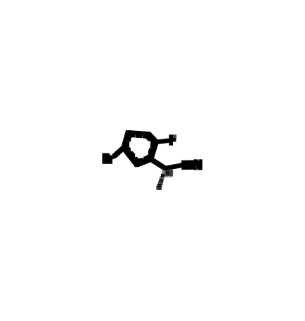 C[C@@H](C#N)c1cc(Br)ccc1F